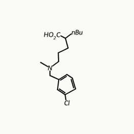 CCCCC(CCCN(C)Cc1cccc(Cl)c1)C(=O)O